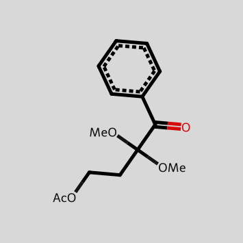 COC(CCOC(C)=O)(OC)C(=O)c1ccccc1